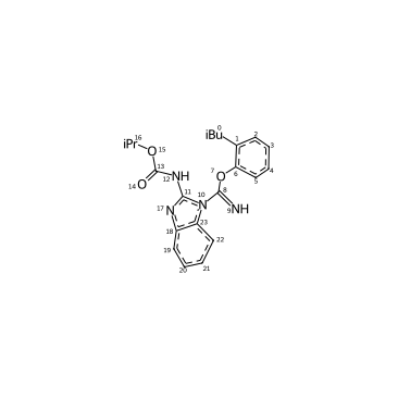 CCC(C)c1ccccc1OC(=N)n1c(NC(=O)OC(C)C)nc2ccccc21